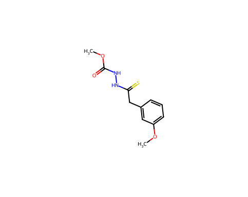 COC(=O)NNC(=S)Cc1cccc(OC)c1